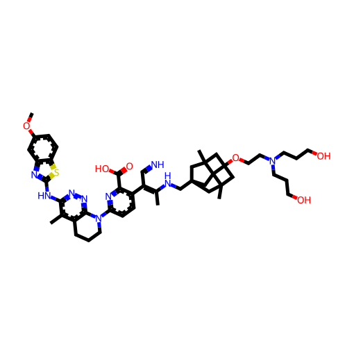 COc1ccc2sc(Nc3nnc4c(c3C)CCCN4c3ccc(/C(C=N)=C(\C)NCC45CC6(C)CC7(OCCN(CCCO)CCCO)CC(C)(C4)C67C5)c(C(=O)O)n3)nc2c1